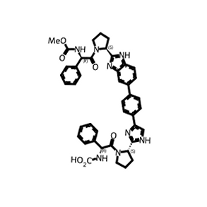 COC(=O)N[C@@H](C(=O)N1CCC[C@H]1c1nc2cc(-c3ccc(-c4c[nH]c([C@@H]5CCCN5C(=O)[C@H](NC(=O)O)c5ccccc5)n4)cc3)ccc2[nH]1)c1ccccc1